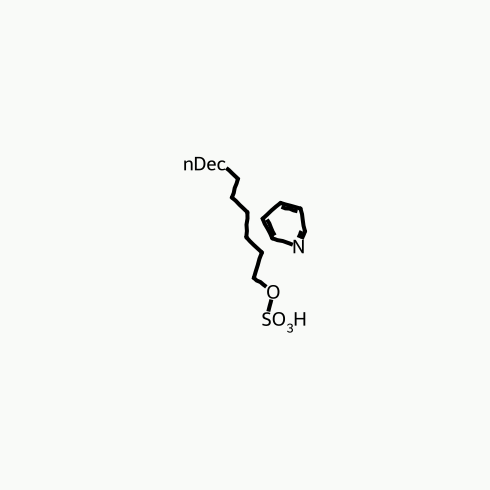 CCCCCCCCCCCCCCCCOS(=O)(=O)O.c1ccncc1